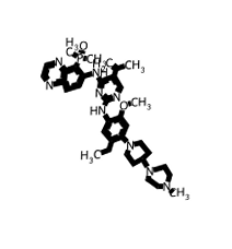 C=C(C)c1cnc(Nc2cc(CC)c(N3CCC(N4CCN(C)CC4)CC3)cc2OC)nc1Nc1ccc2nccnc2c1P(C)(C)=O